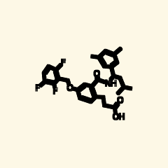 Cc1cc(C)cc(C(CC(C)C)NC(=O)c2cc(OCc3c(F)ccc(F)c3F)ccc2CCC(=O)O)c1